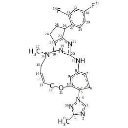 Cc1ncn(-c2ccc3cc2OC/C=C\CN(C)c2nc(nc4c2CCC4c2ccc(F)cc2F)N3)n1